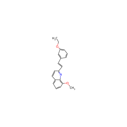 CCOc1cccc(/C=C/c2ccc3cccc(OC)c3n2)c1